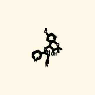 COc1ccc2c(c1)C(N=C(NC#N)c1cccnc1)C(O)C(C)(C)O2